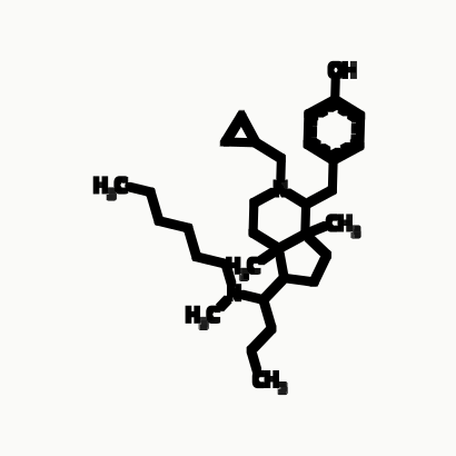 CCCCCCN(C)C(CCC)C1CCC2(C)C(Cc3ccc(O)cc3)N(CC3CC3)CCC12C